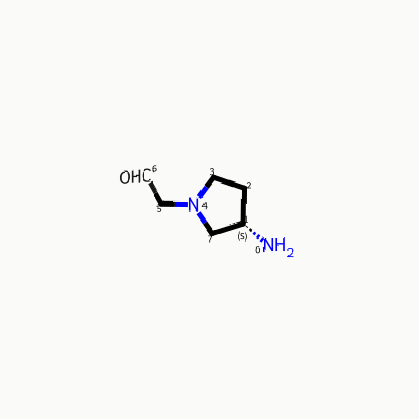 N[C@H]1CCN(CC=O)C1